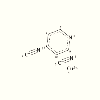 [C-]#N.[C-]#N.[Cu+2].c1ccncc1